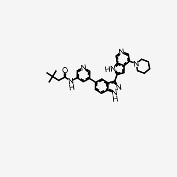 CC(C)(C)CC(=O)Nc1cncc(-c2ccc3[nH]nc(-c4cc5c(N6CCCCC6)cncc5[nH]4)c3c2)c1